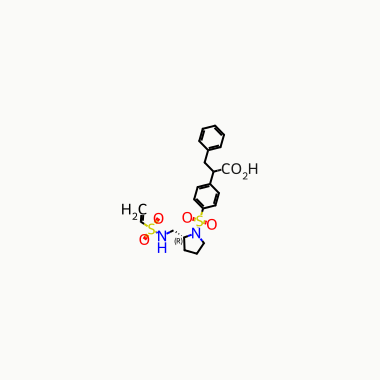 C=CS(=O)(=O)NC[C@H]1CCCN1S(=O)(=O)c1ccc(C(Cc2ccccc2)C(=O)O)cc1